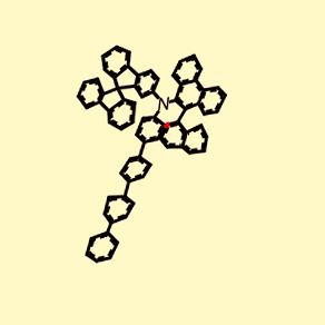 c1ccc(-c2ccc(-c3ccc(-c4ccc(N(c5ccc6c(c5)C5(c7ccccc7-c7ccccc75)c5ccccc5-6)c5c(-c6cccc7ccccc67)c6ccccc6c6ccccc56)cc4)cc3)cc2)cc1